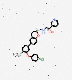 O=C(O)c1ccc(-c2ccc3c(c2)CC[C@H](CNC[C@H](O)c2cccnc2)O3)cc1Oc1ccc(Cl)cc1